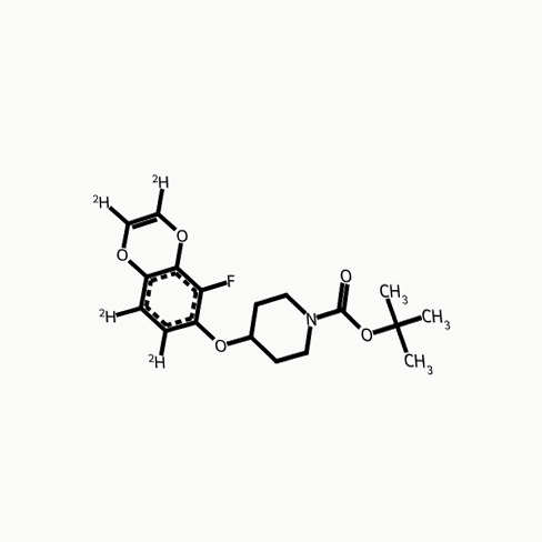 [2H]C1=C([2H])Oc2c(F)c(OC3CCN(C(=O)OC(C)(C)C)CC3)c([2H])c([2H])c2O1